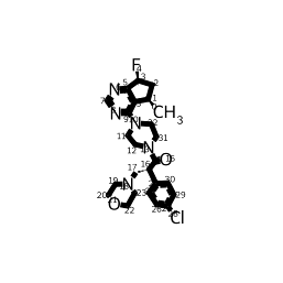 C[C@@H]1C[C@H](F)c2ncnc(N3CCN(C(=O)[C@@H](CN4CCOCC4)c4ccc(Cl)cc4)CC3)c21